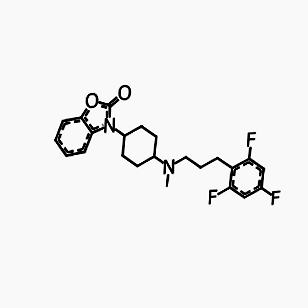 CN(CCCc1c(F)cc(F)cc1F)C1CCC(n2c(=O)oc3ccccc32)CC1